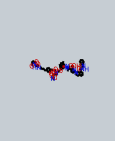 Cc1c(-c2ccc(N3CCc4cccc(C(=O)Nc5nc6ccccc6s5)c4C3)nc2C(=O)O)cnn1CC12CC3(C)CC(C)(C1)CC(OCCN(CCS(=O)(=O)N(C)C)C(=O)OCc1ccc(CCCCNC(=O)CN4C(=O)C=CC4=O)cc1O)(C3)C2